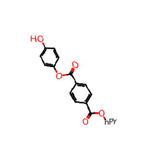 CCCOC(=O)c1ccc(C(=O)Oc2ccc(O)cc2)cc1